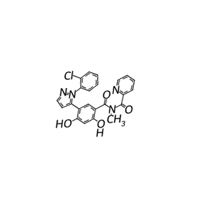 CN(C(=O)c1ccccn1)C(=O)c1cc(-c2ccnn2-c2ccccc2Cl)c(O)cc1O